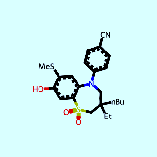 CCCCC1(CC)CN(c2ccc(C#N)cc2)c2cc(SC)c(O)cc2S(=O)(=O)C1